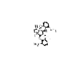 C/C(C/C(=N\c1c(C)cccc1C)C(F)(F)F)=N\c1c(C)cccc1C